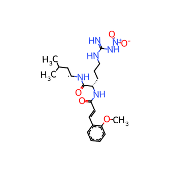 COc1ccccc1/C=C/C(=O)N[C@@H](CCCNC(=N)N[N+](=O)[O-])C(=O)N[CH]CC(C)C